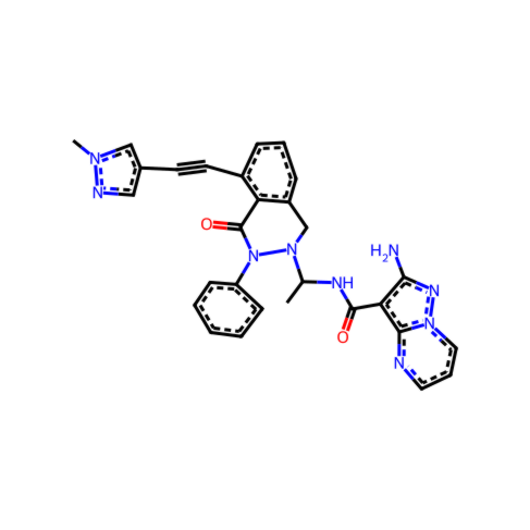 CC(NC(=O)c1c(N)nn2cccnc12)N1Cc2cccc(C#Cc3cnn(C)c3)c2C(=O)N1c1ccccc1